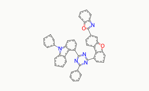 c1ccc(-c2nc(-c3cccc4oc5cc(-c6nc7ccccc7o6)ccc5c34)nc(-c3cccc4c3c3ccccc3n4-c3ccccc3)n2)cc1